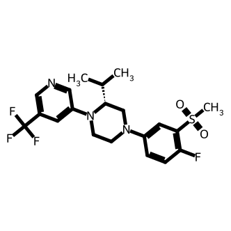 CC(C)[C@@H]1CN(c2ccc(F)c(S(C)(=O)=O)c2)CCN1c1cncc(C(F)(F)F)c1